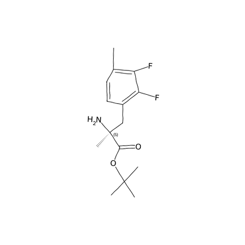 Cc1ccc(C[C@](C)(N)C(=O)OC(C)(C)C)c(F)c1F